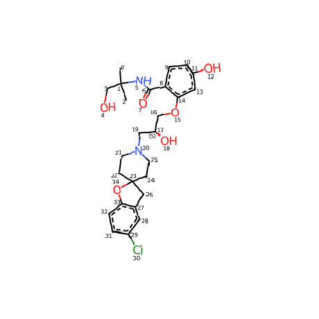 CC(C)(CO)NC(=O)c1ccc(O)cc1OC[C@@H](O)CN1CCC2(CC1)Cc1cc(Cl)ccc1O2